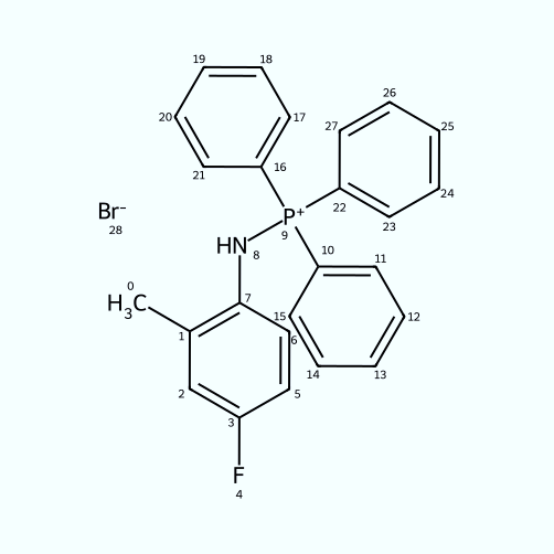 Cc1cc(F)ccc1N[P+](c1ccccc1)(c1ccccc1)c1ccccc1.[Br-]